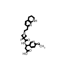 COc1ccc(C(CC(=O)O)NC(=O)C2(F)CN(CCc3ccc4c(n3)NCCC4)C2)cn1